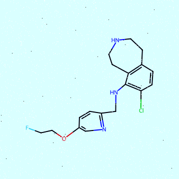 FCCOc1ccc(CNc2c(Cl)ccc3c2CCNCC3)nc1